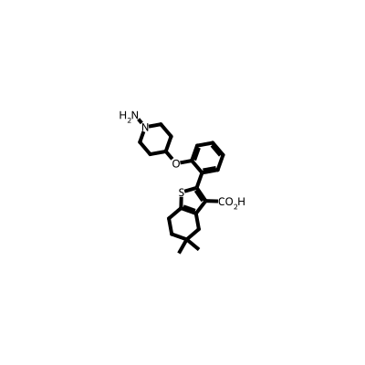 CC1(C)CCc2sc(-c3ccccc3OC3CCN(N)CC3)c(C(=O)O)c2C1